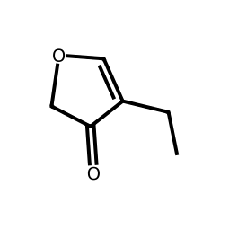 CCC1=COCC1=O